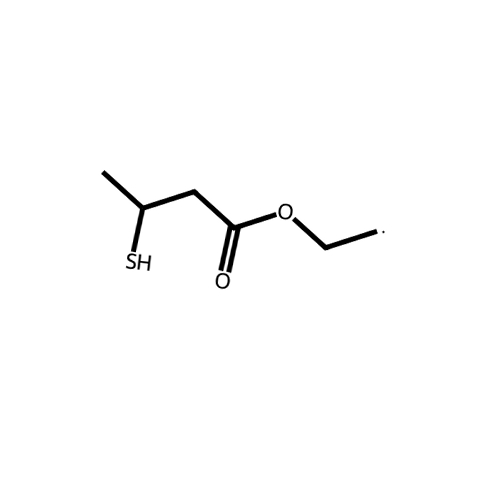 [CH2]COC(=O)CC(C)S